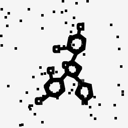 Clc1ccc(-c2cc(-n3ccnc3)c(-c3ccc(Cl)cc3Cl)o2)c(Cl)c1